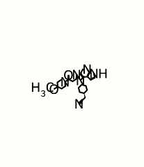 COC1CCN(C(=O)Cc2nc3cnc4[nH]ccc4c3n2[C@H]2CC[C@H](CC#N)CC2)CC1